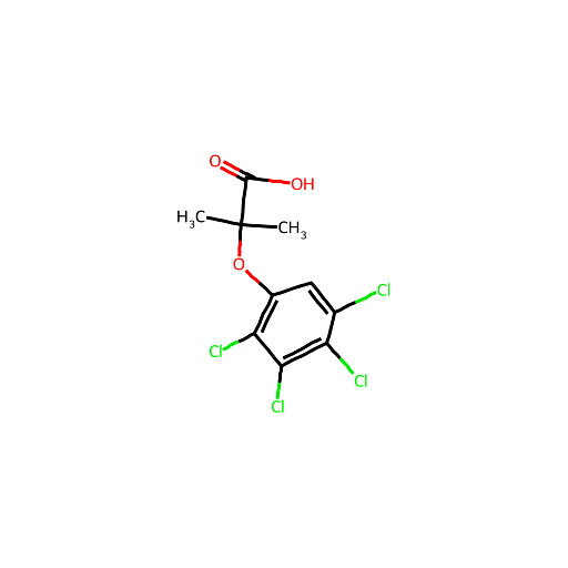 CC(C)(Oc1cc(Cl)c(Cl)c(Cl)c1Cl)C(=O)O